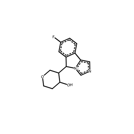 OC1CCOCC1C1c2cc(F)ccc2-c2cncn21